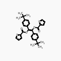 CC(C)(C)c1ccc(/C(OC(=O)c2cccs2)=C(\OC(=O)c2cccs2)c2ccc(C(C)(C)C)cc2)cc1